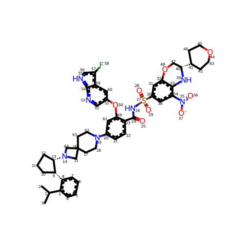 CC(C)c1ccccc1[C@@H]1CCC[C@@H]1N1CC2(CCN(c3ccc(C(=O)NS(=O)(=O)c4cc5c(c([N+](=O)[O-])c4)N[C@@H](C4CCOCC4)CO5)c(Oc4cnc5[nH]cc(F)c5c4)c3)CC2)C1